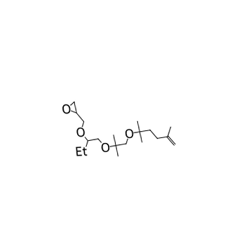 C=C(C)CCC(C)(C)OCC(C)(C)OCC(CC)OCC1CO1